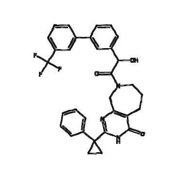 O=C(C(O)c1cccc(-c2cccc(C(F)(F)F)c2)c1)N1CCCc2c(nc(C3(c4ccccc4)CC3)[nH]c2=O)C1